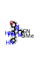 COc1ncc(-n2nc3c(c2/C(C=N)=C/NCC2CCNCC2)CCOCC3)cc1C#N